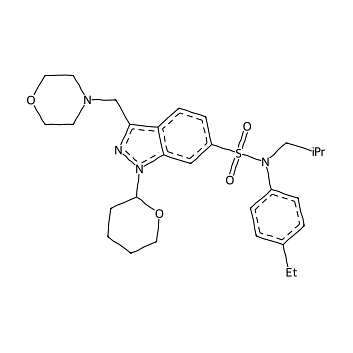 CCc1ccc(N(CC(C)C)S(=O)(=O)c2ccc3c(CN4CCOCC4)nn(C4CCCCO4)c3c2)cc1